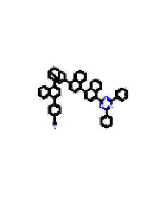 N#Cc1ccc(-c2ccc(C34CC5CC(C3)CC(c3ccc(-c6ccc(-c7nc(-c8ccccc8)nc(-c8ccccc8)n7)c7ccccc67)c6ccccc36)(C5)C4)c3ccccc23)cc1